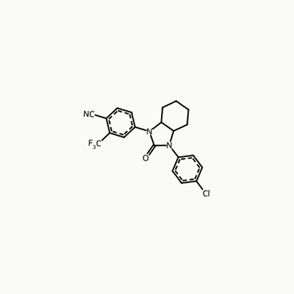 N#Cc1ccc(N2C(=O)N(c3ccc(Cl)cc3)C3CCCCC32)cc1C(F)(F)F